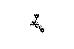 Cc1cc(C)cc(CNC(=O)c2cnc(C)nc2C2CCN(C(=O)Cc3cc(F)ccc3F)CC2)c1